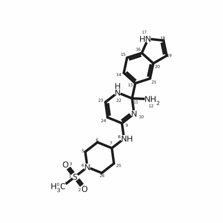 CS(=O)(=O)N1CCC(NC2=NC(N)(c3ccc4[nH]ccc4c3)NC=C2)CC1